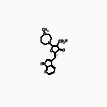 CN1CCCN(C2=C(C(=O)O)C(=O)/C(=C/c3c[nH]c4ncccc34)O2)CC1